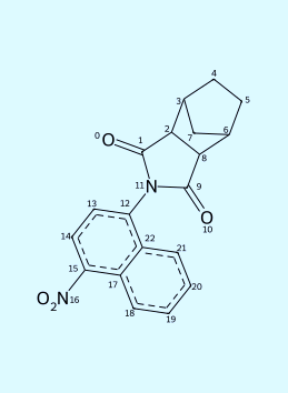 O=C1C2C3CCC(C3)C2C(=O)N1c1ccc([N+](=O)[O-])c2ccccc12